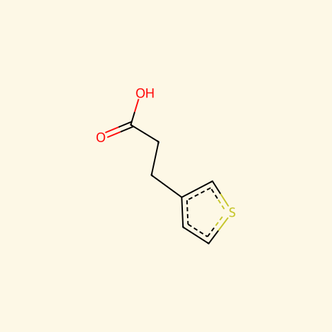 O=C(O)CCc1ccsc1